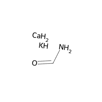 NC=O.[CaH2].[KH]